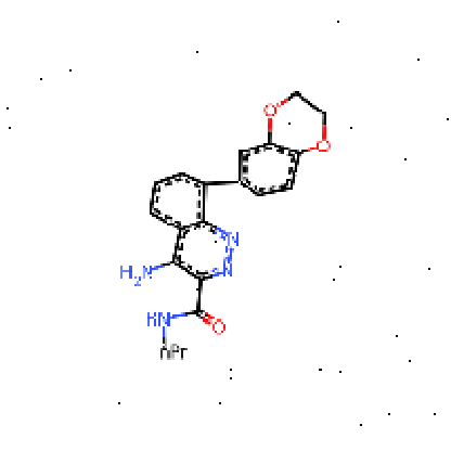 CCCNC(=O)c1nnc2c(-c3ccc4c(c3)OCCO4)cccc2c1N